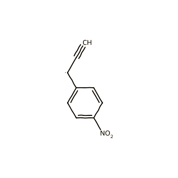 C#C[CH]c1ccc([N+](=O)[O-])cc1